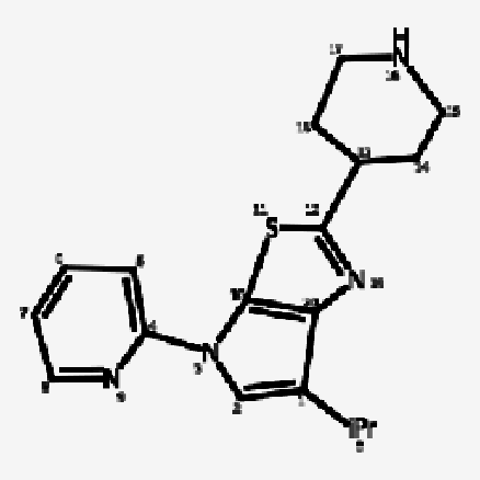 CC(C)c1cn(-c2ccccn2)c2sc(C3CCNCC3)nc12